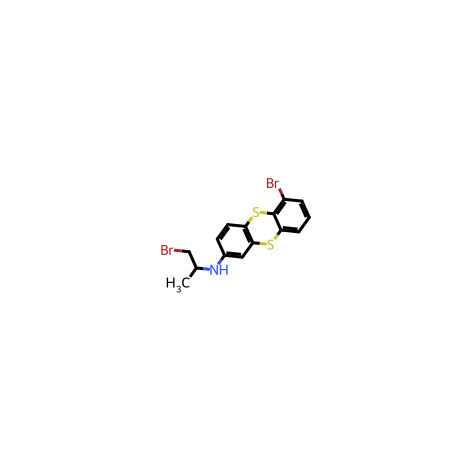 CC(CBr)Nc1ccc2c(c1)Sc1cccc(Br)c1S2